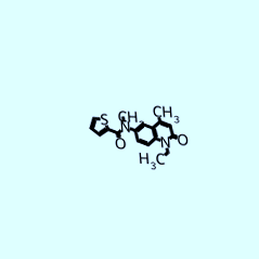 CCn1c(=O)cc(C)c2cc(N(C)C(=O)c3cccs3)ccc21